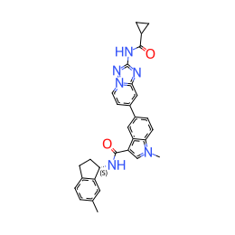 Cc1ccc2c(c1)[C@@H](NC(=O)c1cn(C)c3ccc(-c4ccn5nc(NC(=O)C6CC6)nc5c4)cc13)CC2